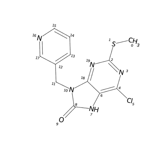 CSc1nc(Cl)c2[nH]c(=O)n(Cc3cccnc3)c2n1